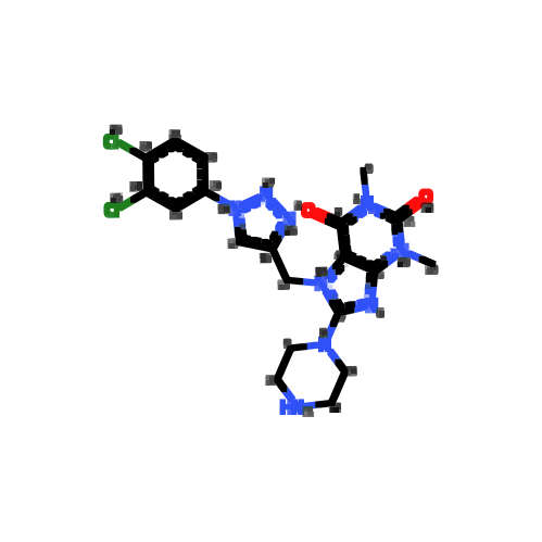 Cn1c(=O)c2c(nc(N3CCNCC3)n2Cc2cn(-c3ccc(Cl)c(Cl)c3)nn2)n(C)c1=O